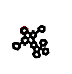 c1ccc(-c2cc(-c3cc4c(cc3-c3nc(-c5ccccc5)nc(-c5ccccc5)n3)-c3ccccc3C4(c3ccccc3)c3ccccc3)nc(-c3ccccc3)n2)cc1